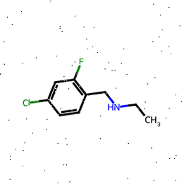 CCNCc1ccc(Cl)cc1F